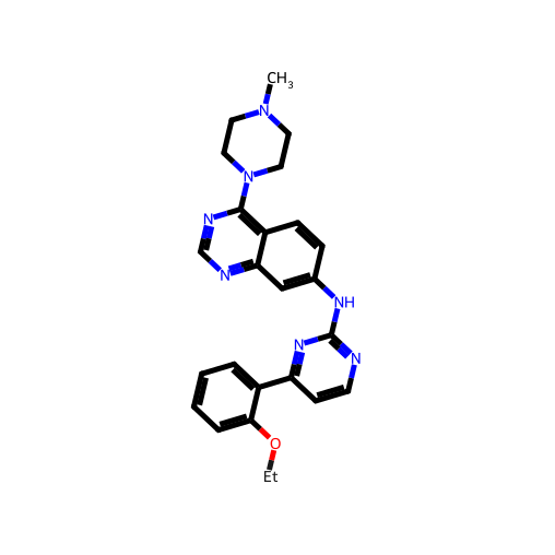 CCOc1ccccc1-c1ccnc(Nc2ccc3c(N4CCN(C)CC4)ncnc3c2)n1